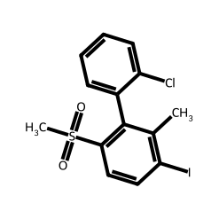 Cc1c(I)ccc(S(C)(=O)=O)c1-c1ccccc1Cl